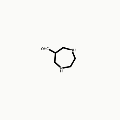 O=CC1CNCCNC1